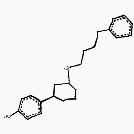 Oc1ccc(C2CCCC(NCCCCc3ccccc3)C2)cc1